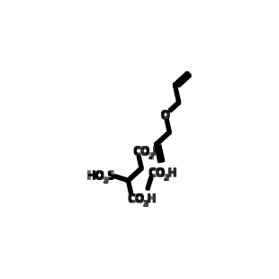 C=CCOCC=C.CC(=O)O.O=C(O)CC(C(=O)O)S(=O)(=O)O